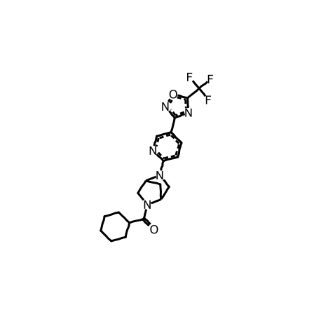 O=C(C1CCCCC1)N1CC2CC1CN2c1ccc(-c2noc(C(F)(F)F)n2)cn1